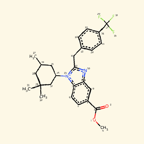 COC(=O)c1ccc2c(c1)nc(Cc1ccc(C(F)(F)F)cc1)n2C1CC(C)CC(C)(C)C1